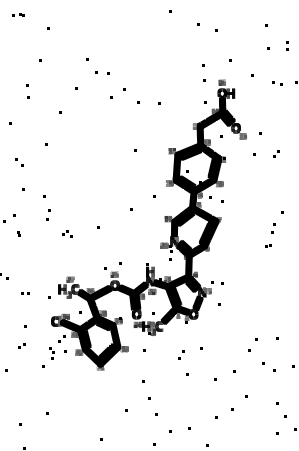 Cc1onc(-c2ccc(-c3ccc(CC(=O)O)cc3)cn2)c1NC(=O)OC(C)c1ccccc1Cl